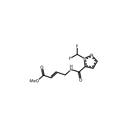 COC(=O)/C=C/CNC(=O)c1ccnn1C(F)F